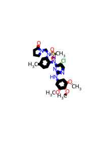 COc1cc(Nc2ncc(Cl)c(Nc3ccc(C)cc3N(CN3CCCC3=O)S(C)(=O)=O)n2)cc(OC)c1OC